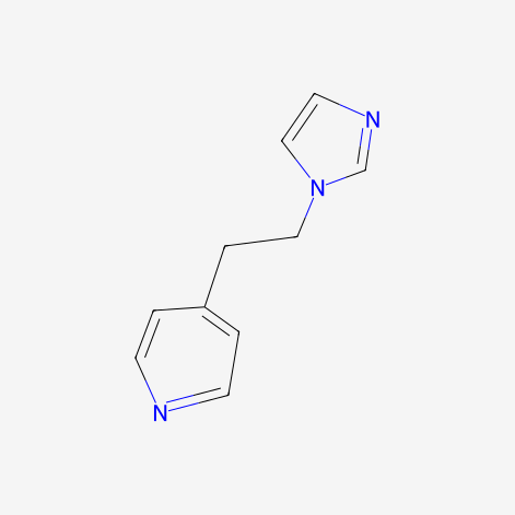 c1cc(CCn2ccnc2)ccn1